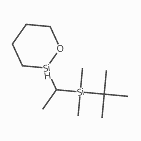 CC([SiH]1CCCCO1)[Si](C)(C)C(C)(C)C